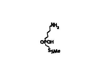 CSSCCP(=O)(O)CCCCCN